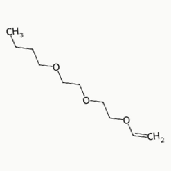 C=COCCOCCOCCCC